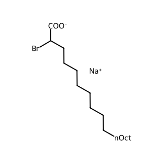 CCCCCCCCCCCCCCCCC(Br)C(=O)[O-].[Na+]